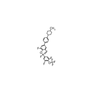 CC1CCC(c2ccc(-c3cc(F)c(OC(F)(F)c4cc(F)c(OC(F)(F)F)c(F)c4)c(F)c3)cc2)CC1